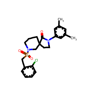 Cc1cc(C)cc(N2CCC3(CCCN(S(=O)(=O)Cc4ccccc4Cl)C3)C2=O)c1